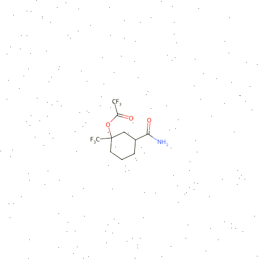 NC(=O)C1CCCC(OC(=O)C(F)(F)F)(C(F)(F)F)C1